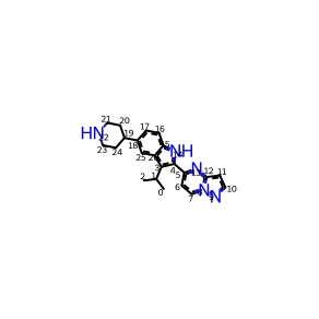 CC(C)c1c(-c2ccn3nccc3n2)[nH]c2ccc(C3CCNCC3)cc12